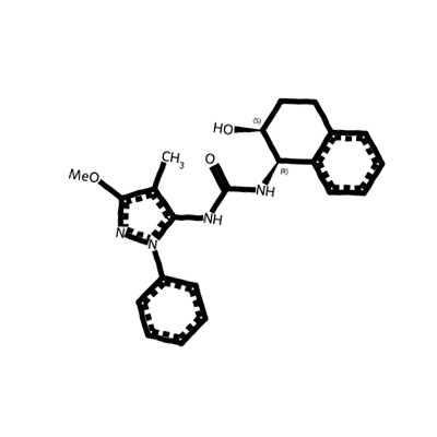 COc1nn(-c2ccccc2)c(NC(=O)N[C@@H]2c3ccccc3CC[C@@H]2O)c1C